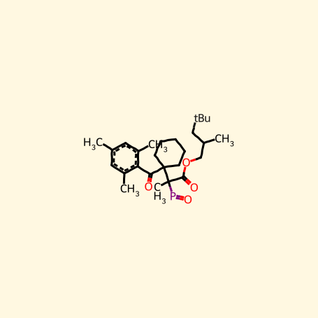 Cc1cc(C)c(C(=O)C2(C(C)(P=O)C(=O)OCC(C)CC(C)(C)C)CCCCC2)c(C)c1